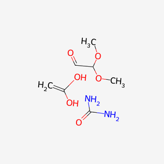 C=C(O)O.COC(C=O)OC.NC(N)=O